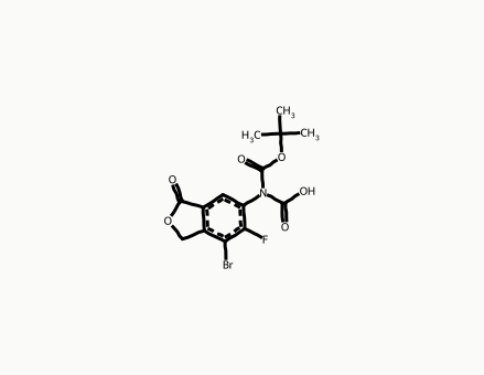 CC(C)(C)OC(=O)N(C(=O)O)c1cc2c(c(Br)c1F)COC2=O